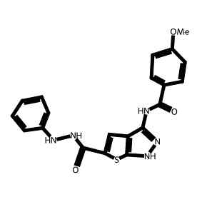 COc1ccc(C(=O)Nc2n[nH]c3sc(C(=O)NNc4ccccc4)cc23)cc1